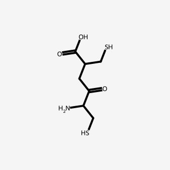 NC(CS)C(=O)CC(CS)C(=O)O